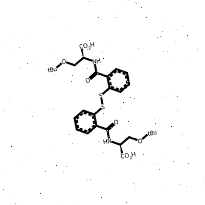 CC(C)(C)OC[C@H](NC(=O)c1ccccc1SSc1ccccc1C(=O)N[C@@H](COC(C)(C)C)C(=O)O)C(=O)O